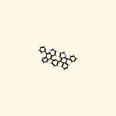 c1ccc(-c2c3ccccc3c(-c3cccc(-c4c5ccccc5c(-c5ccccc5)c5ncccc45)c3)c3cccnc23)cc1